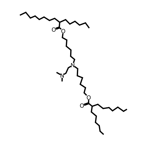 CCCCCCCCC(CCCCCC)C(=O)OCCCCCCN(CCCCCCOC(=O)C(CCCCCC)CCCCCCC)CCN(C)C